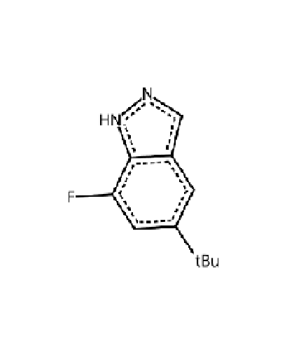 CC(C)(C)c1cc(F)c2[nH]ncc2c1